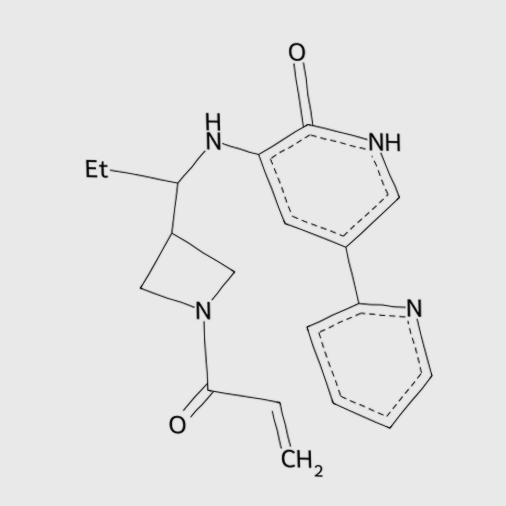 C=CC(=O)N1CC(C(CC)Nc2cc(-c3ccccn3)c[nH]c2=O)C1